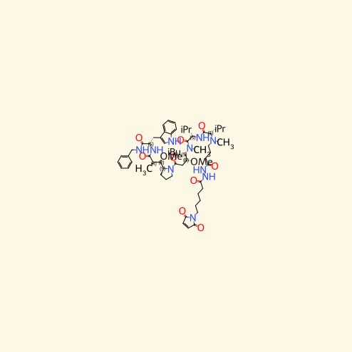 CC[C@H](C)[C@@H]([C@@H](CC(=O)N1CCC[C@H]1[C@H](OC)[C@@H](C)C(=O)N[C@@H](Cc1c[nH]c2ccccc12)C(=O)NCc1ccccc1)OC)N(C)C(=O)[C@@H](NC(=O)[C@H](C(C)C)N(C)CCCC(=O)NNC(=O)CCCCCN1C(=O)C=CC1=O)C(C)C